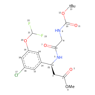 COC(=O)C[C@H](NC(=O)CNC(=O)OC(C)(C)C)c1cc(Cl)cc(OC(F)F)c1